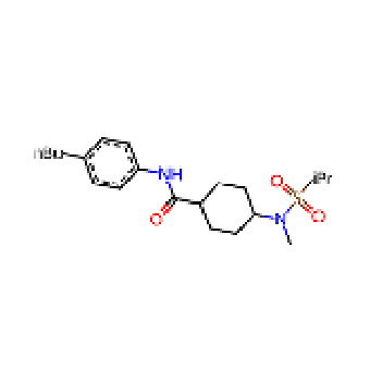 CCCCc1ccc(NC(=O)C2CCC(N(C)S(=O)(=O)C(C)C)CC2)cc1